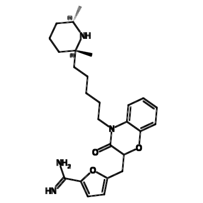 C[C@H]1CCC[C@@](C)(CCCCCN2C(=O)C(Cc3ccc(C(=N)N)o3)Oc3ccccc32)N1